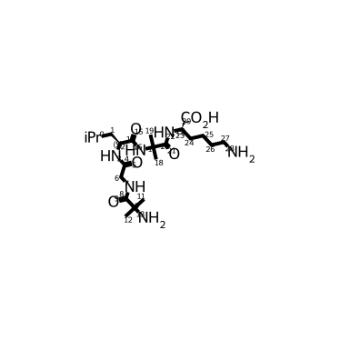 CC(C)C[C@H](NC(=O)CNC(=O)C(C)(C)N)C(=O)NC(C)(C)C(=O)N[C@@H](CCCCN)C(=O)O